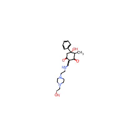 CC1C(=O)C(=CNCCN2CCN(CCO)CC2)C(=O)CC1(O)c1ccccc1